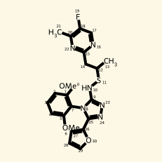 COc1cccc(OC)c1-n1c(NSC(C)Cc2ncc(F)c(C)n2)nnc1-c1ccco1